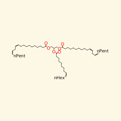 CCCCC/C=C\C/C=C\CCCCCCCCCC(=O)OCC(COC(=O)CCCCCCCCC/C=C\C/C=C\CCCCC)OC(=O)CCCCCCC/C=C\CCCCCC